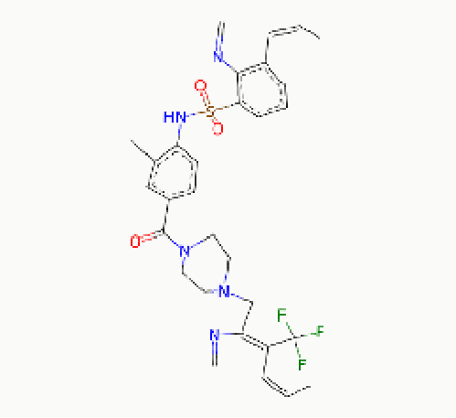 C=N/C(CN1CCN(C(=O)c2ccc(NS(=O)(=O)c3cccc(/C=C\C)c3N=C)c(C)c2)CC1)=C(\C=C/C)C(F)(F)F